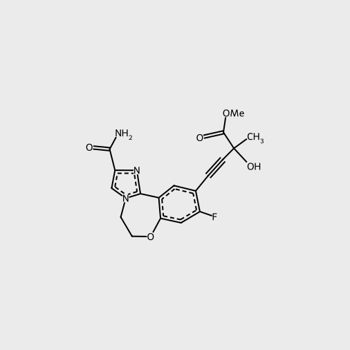 COC(=O)C(C)(O)C#Cc1cc2c(cc1F)OCCn1cc(C(N)=O)nc1-2